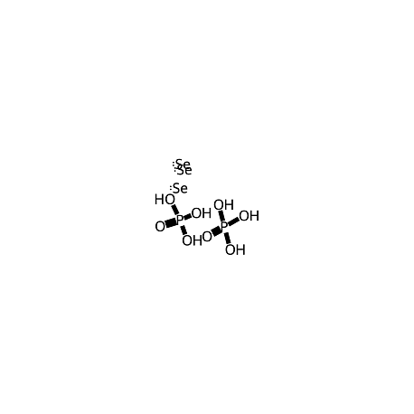 O=P(O)(O)O.O=P(O)(O)O.[Se].[Se].[Se]